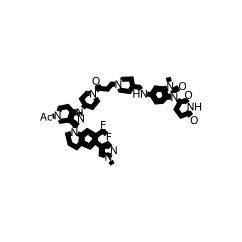 CC(=O)N1CCc2c(c(N3CCCc4cc(-c5cnn(C)c5)c(C(F)F)cc43)nn2C2CCN(C(=O)CCN3CCC(CNc4ccc5c(c4)n(C)c(=O)n5C4CCC(=O)NC4=O)CC3)CC2)C1